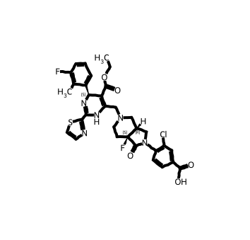 CCOC(=O)C1=C(CN2CC[C@@]3(F)C(=O)N(c4ccc(C(=O)O)cc4Cl)C[C@H]3C2)NC(c2nccs2)=N[C@H]1c1cccc(F)c1C